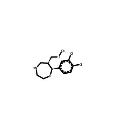 COC[C@@H]1CNCCO[C@@H]1c1ccc(Cl)c(Cl)c1